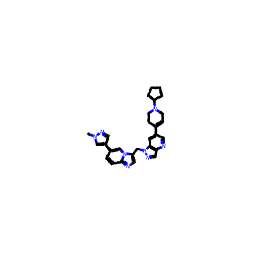 Cn1cc(-c2ccc3ncc(Cn4ncc5ncc(C6=CCN(C7CCCC7)CC6)cc54)n3c2)cn1